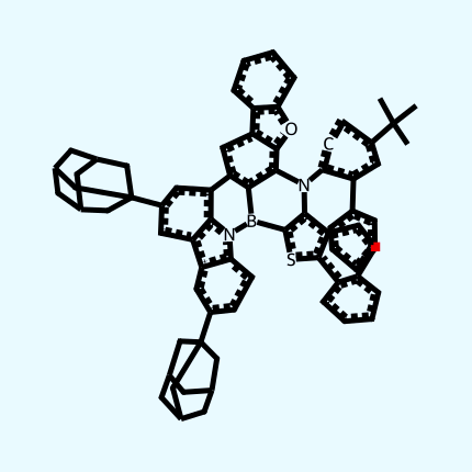 CC(C)(C)c1ccc(N2c3c(sc4c3ccc3ccccc34)B3c4c(cc5c(oc6ccccc65)c42)-c2cc(C45CC6CC(CC(C6)C4)C5)cc4c5cc(C67CC8CC(CC(C8)C6)C7)ccc5n3c24)c(-c2ccccc2)c1